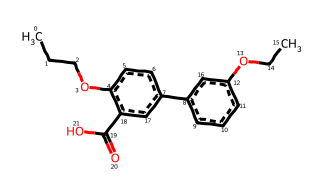 CCCOc1ccc(-c2cccc(OCC)c2)cc1C(=O)O